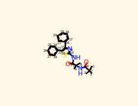 CC(C)(C)C(=O)NC(C)(C)C(=O)Nc1nc(-c2ccccc2)c(-c2ccccc2)s1